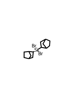 Br[Si](Br)(C1CC2CCC1C2)C1CC2CCC1C2